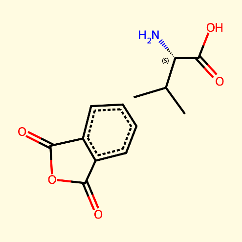 CC(C)[C@H](N)C(=O)O.O=C1OC(=O)c2ccccc21